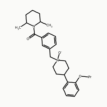 CC(C)Oc1ccccc1C1CC[N+]([O-])(Cc2cccc(C(=O)N3C(C)CCCC3C)c2)CC1